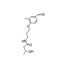 Cc1cc(C=O)ccc1OCCCNC(=O)CC(C)O